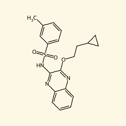 Cc1cccc(S(=O)(=O)Nc2nc3ccccc3nc2OCCC2CC2)c1